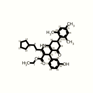 CCOC(=O)C1=C(CCC2CCCC2)NC2=C(C(=O)CC(c3c(C)cc(C)cc3C)C2)C1c1cccc(O)c1